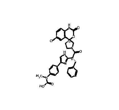 CN(C(=O)O)c1ccc(-c2c[nH]c([C@@H](Cc3ccccc3)C(=O)N3CC[C@]4(C3)OC(=O)Nc3ccc(Cl)cc34)n2)cc1